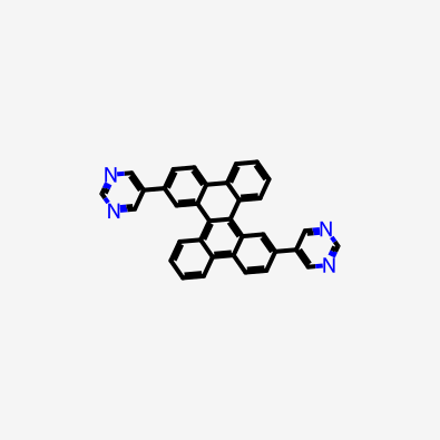 c1ccc2c(c1)c1ccc(-c3cncnc3)cc1c1c3ccccc3c3ccc(-c4cncnc4)cc3c21